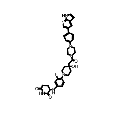 O=C1CCC(Nc2ccc(N3CCC(O)(CC(=O)N4CCN(c5ccc(-c6cnc7[nH]ccc7c6)cc5)CC4)CC3)c(F)c2)C(=O)N1